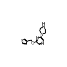 c1cc(COc2cncc(N3CCNCC3)n2)cs1